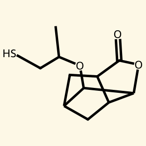 CC(CS)OC1C2CC3C(=O)OC1C3C2